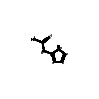 S=C(S)Oc1ccc[nH]1